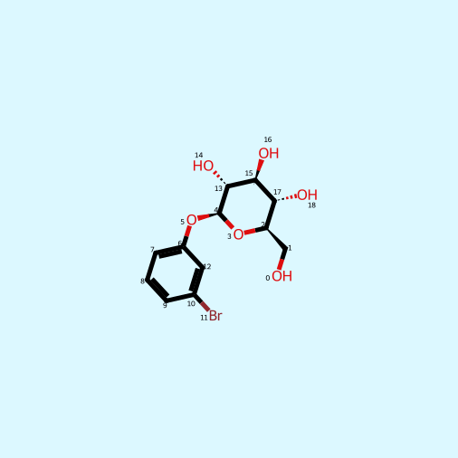 OC[C@H]1O[C@@H](Oc2cccc(Br)c2)[C@H](O)[C@@H](O)[C@@H]1O